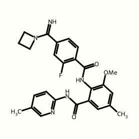 COc1cc(C)cc(C(=O)Nc2ccc(C)cn2)c1NC(=O)c1ccc(C(=N)N2CCC2)cc1F